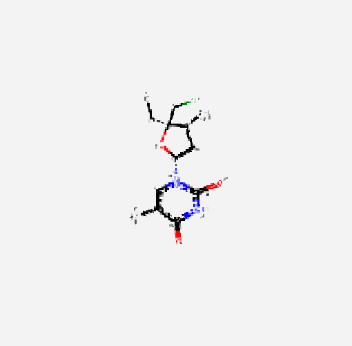 CC[C@@]1(CCl)O[C@@H](n2cc(C)c(=O)[nH]c2=O)C[C@@H]1C